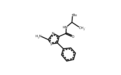 [CH2]C(NC(=O)c1nc(N)sc1-c1ccccc1)C(C)(C)C